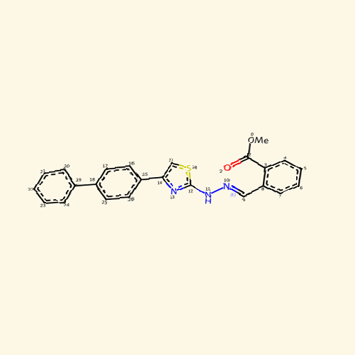 COC(=O)c1ccccc1/C=N/Nc1nc(-c2ccc(-c3ccccc3)cc2)cs1